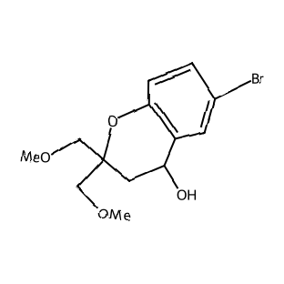 COCC1(COC)CC(O)c2cc(Br)ccc2O1